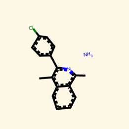 Cc1nc(-c2ccc(Cl)cc2)c(C)c2ccccc12.N